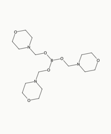 C1CN(COB(OCN2CCOCC2)OCN2CCOCC2)CCO1